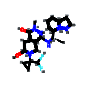 C[C@H](Nc1nn(C)c(=O)c2cc(=O)n(C3(C(F)F)CC3)cc12)c1cccc2ccnn12